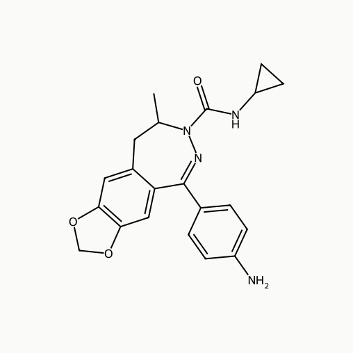 CC1Cc2cc3c(cc2C(c2ccc(N)cc2)=NN1C(=O)NC1CC1)OCO3